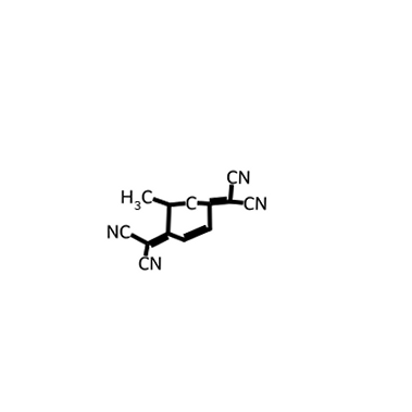 CC1CC(=C(C#N)C#N)C=CC1=C(C#N)C#N